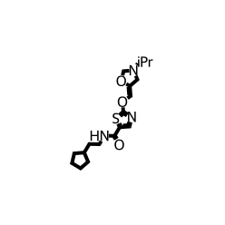 CC(C)N1COC(=COc2ncc(C(=O)NCCC3CCCC3)s2)C1